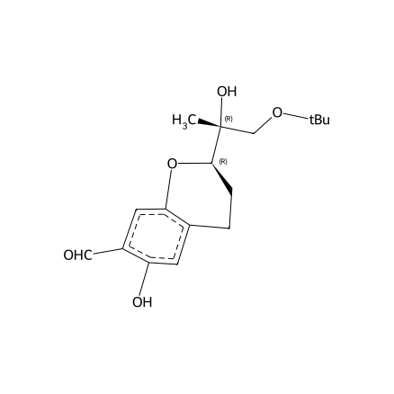 CC(C)(C)OC[C@@](C)(O)[C@H]1CCc2cc(O)c(C=O)cc2O1